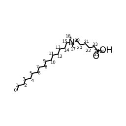 CCCCCCCCCCCCCCCC[N+](C)(C)CCCCCC(=O)O